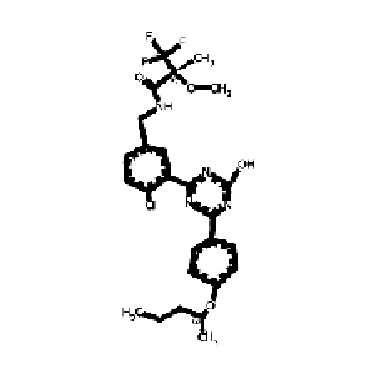 CCC[C@H](C)Oc1ccc(-c2nc(O)nc(-c3cc(CNC(=O)[C@@](C)(OC)C(F)(F)F)ccc3Cl)n2)cc1